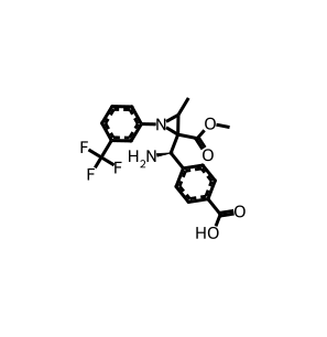 COC(=O)C1([C@H](N)c2ccc(C(=O)O)cc2)C(C)N1c1cccc(C(F)(F)F)c1